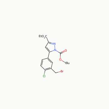 CCOC(=O)c1cc(-c2ccc(Cl)c(CBr)c2)n(C(=O)OC(C)(C)C)n1